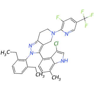 CCc1cccc(CC)c1-n1nc2c(c1-c1ccc(C)c3[nH]cc(Cl)c13)CN(c1ncc(C(F)(F)F)cc1F)CC2